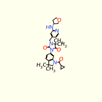 CC1(C)CN(C(=O)C2CC2)c2cc(N3C(=O)N(Cc4ccnc(N[C@H]5CCOC5)c4)C(C)(C)C3=O)ccc21